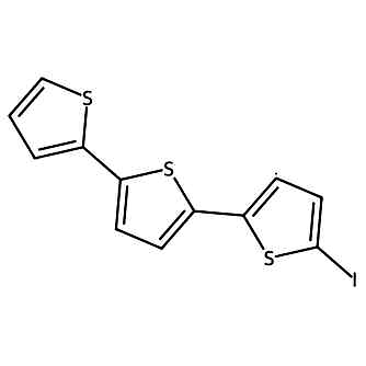 Ic1c[c]c(-c2ccc(-c3cccs3)s2)s1